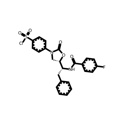 O=C(N[C@H](Cc1ccccc1)[C@@H]1CN(c2ccc(S(=O)(=O)Cl)cc2)C(=O)O1)c1ccc(F)cc1